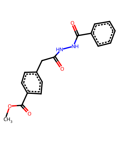 COC(=O)c1ccc(CC(=O)NNC(=O)c2ccccc2)cc1